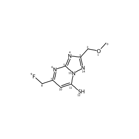 COCc1nc2nc(CF)cc(S)n2n1